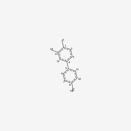 Cc1ccc(-c2ccc(F)cc2)cc1C